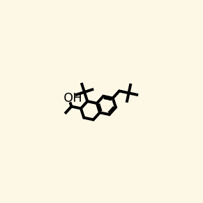 CC(O)C1CCc2ccc(CC(C)(C)C)cc2C1C(C)(C)C